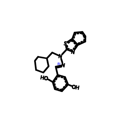 Oc1ccc(O)c(/C=N/N(CC2CCCCC2)c2nc3ccccc3s2)c1